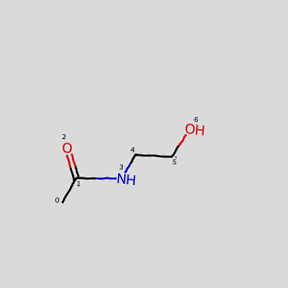 CC(=O)NC[CH]O